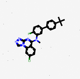 CN(c1cc(-c2ccc(C(C)(C)C)cc2)ccc1F)c1nc2nncn2c2cc(Cl)ccc12